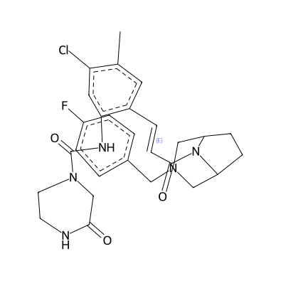 Cc1cc(/C=C/C(=O)N2C3CCC2CN(Cc2ccc(F)cc2)C3)c(NC(=O)N2CCNC(=O)C2)cc1Cl